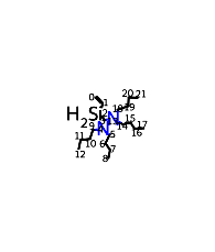 C=C[SiH2]C(N(CCCC)CCCC)N(CCCC)CCCC